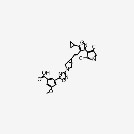 COc1cc(C(=O)O)cc(-c2nc(N3CC4C(C=Cc5c(-c6c(Cl)cncc6Cl)noc5C5CC5)C4C3)no2)c1